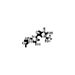 Cc1cc(NC(=N)NC(=N)N(C)Cc2occ(NC(=N)NC(=N)N(C)C)c2C)co1